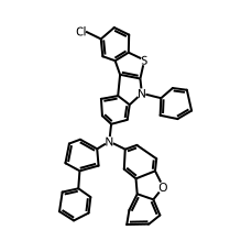 Clc1ccc2sc3c(c2c1)c1ccc(N(c2cccc(-c4ccccc4)c2)c2ccc4oc5ccccc5c4c2)cc1n3-c1ccccc1